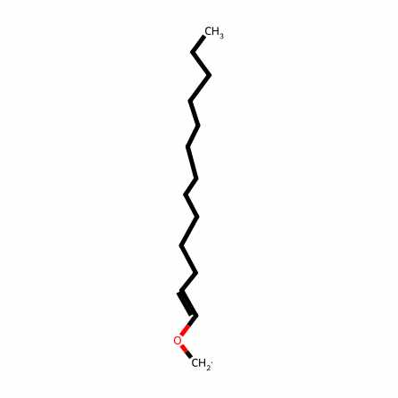 [CH2]OC=CCCCCCCCCCCC